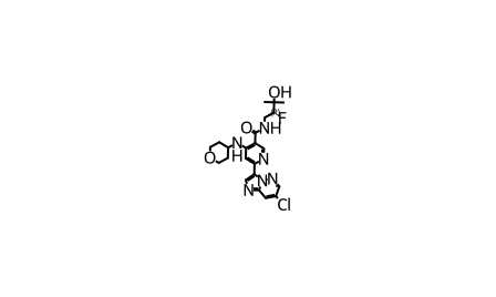 CC(C)(O)[C@H](F)CNC(=O)c1cnc(-c2cnc3cc(Cl)cnn23)cc1NC1CCOCC1